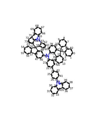 c1ccc(C2(c3ccccc3)c3ccccc3-c3c(N(c4ccc(-c5ccc(-n6c7ccccc7c7ccccc76)cc5)cc4)c4ccc5c(c4)C4(c6ccccc6-5)c5ccccc5-n5c6ccccc6c6cccc4c65)cccc32)cc1